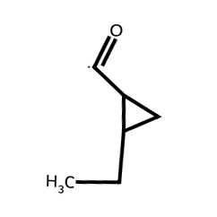 CCC1CC1[C]=O